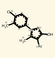 CC(=O)c1c(O)nn(-c2ccc(Cl)c(C)c2)c1C